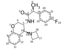 C[C@H](C(=O)N[C@H]1COc2ccccc2[C@@H]1N1CCC1)c1ccc(F)cc1